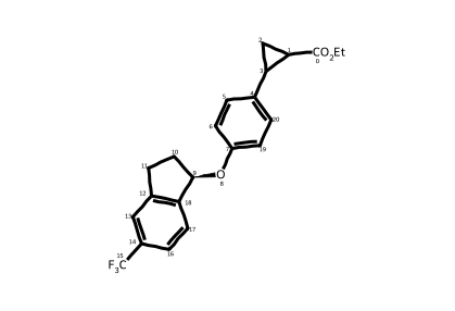 CCOC(=O)C1CC1c1ccc(O[C@@H]2CCc3cc(C(F)(F)F)ccc32)cc1